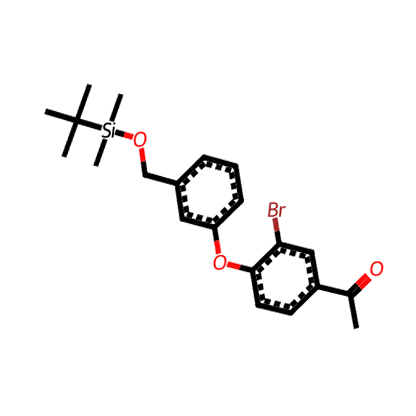 CC(=O)c1ccc(Oc2cccc(CO[Si](C)(C)C(C)(C)C)c2)c(Br)c1